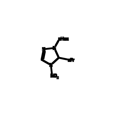 CCCCCCN1N=CN([N+](=O)[O-])C1CCC